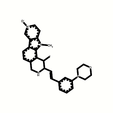 Cn1c2cc[n+]([O-])cc2c2ccc3c(c21)C(I)C(C=Cc1cccc(N2CCOCC2)c1)NC3